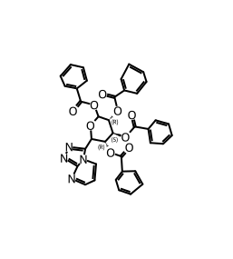 O=C(OC1OC(c2nnc3ncccn23)[C@@H](OC(=O)c2ccccc2)[C@H](OC(=O)c2ccccc2)[C@H]1OC(=O)c1ccccc1)c1ccccc1